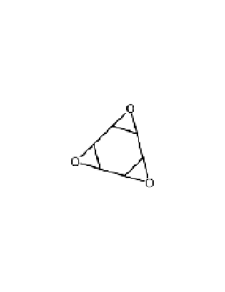 O1C2C3OC3C3OC3C12